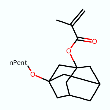 C=C(C)C(=O)OC12CC3CC(CC(OCCCCC)(C3)C1)C2